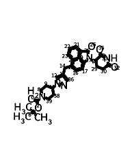 C=C(OC(C)(C)C)N1CCC(n2cc(Cc3ccc4c5c(cccc35)C(=O)N4[C@H]3CCC(=O)NC3=O)cn2)CC1